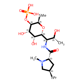 CCC[C@@H]1C[C@@H](C(=O)N[C@@H]([C@H]2O[C@H](SC)[C@H](OP(=O)(O)O)[C@@H](O)[C@H]2O)[C@@H](C)O)N(C)C1